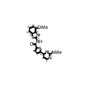 CNc1nccc(-c2ccc(C(=O)Nc3nc4c(OC)cccc4s3)s2)n1